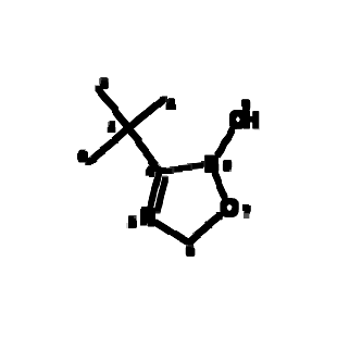 CC(C)(C)C1=NCOB1O